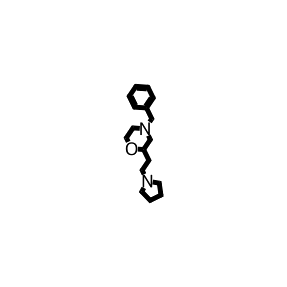 c1ccc(CN2CCOC(CCN3CCCC3)C2)cc1